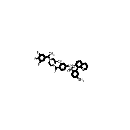 CC(c1cc(F)c(F)c(F)c1)N1CCN(C(=O)c2ccc(NS(=O)(=O)c3ccc(N)cc3-c3cccc4cccnc34)cc2)[C@H](C)C1